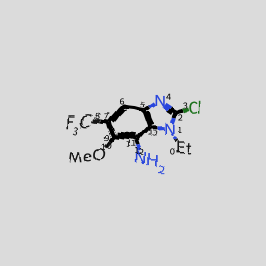 CCn1c(Cl)nc2cc(C(F)(F)F)c(OC)c(N)c21